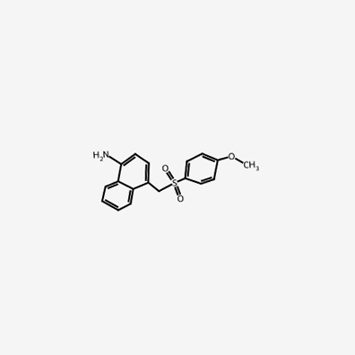 COc1ccc(S(=O)(=O)Cc2ccc(N)c3ccccc23)cc1